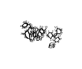 C1CCC(P(C2CCCCC2)C2CCCCC2)CC1.Cc1cc(C)c(-n2c(Br)c(Br)n(-c3c(C)cc(C)cc3C)[c]2=[Ru+2]=[CH]Sc2ccccc2)c(C)c1.[Cl-].[Cl-]